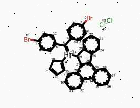 Brc1ccc([C](c2ccc(Br)cc2)=[Hf+2]([C]2=CC=CC2)[CH]2c3ccccc3-c3c2c2ccccc2c2ccccc32)cc1.[Cl-].[Cl-]